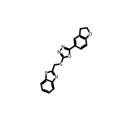 c1ccc2sc(CSc3nnc(-c4ccc5c(c4)CCO5)o3)nc2c1